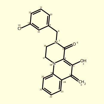 C=C1C(O)=C2C(=O)N(Cc3cccc(Cl)c3)CCN2c2ccccc21